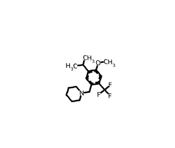 COc1cc(C(F)(F)F)c(CN2CCCCC2)cc1C(C)C